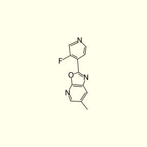 Cc1cnc2oc(-c3ccncc3F)nc2c1